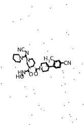 Cc1cc(C#N)ccc1C1=CCN(C(=O)[C@H]2CCN(C(=NC#N)N3CCCCC3)C[C@@H]2C(=O)NO)CC1